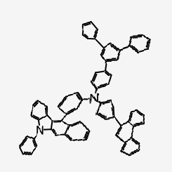 c1ccc(-c2cc(-c3ccccc3)cc(-c3ccc(N(c4ccc(-c5cc6ccccc6c6ccccc56)cc4)c4cccc(-c5c6ccccc6cc6c5c5ccccc5n6-c5ccccc5)c4)cc3)c2)cc1